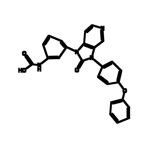 O=C(O)Nc1cccc(-n2c(=O)n(-c3ccc(Oc4ccccc4)cc3)c3cnccc32)c1